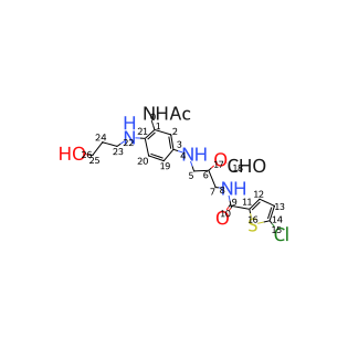 CC(=O)Nc1cc(NCC(CNC(=O)c2ccc(Cl)s2)OC=O)ccc1NCCCO